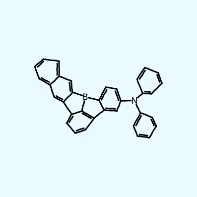 c1ccc(N(c2ccccc2)c2ccc3c(c2)-c2cccc4c2B3c2cc3ccccc3cc2-4)cc1